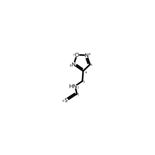 S=[C]NCc1cnon1